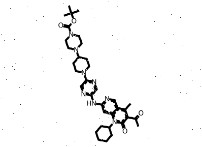 CC(=O)c1c(C)c2cnc(Nc3cnc(N4CCC(N5CCN(C(=O)OC(C)(C)C)CC5)CC4)cn3)cc2n(C2CCCCC2)c1=O